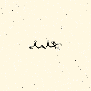 CC(C)(C)OC(=O)N=NCC(=O)O